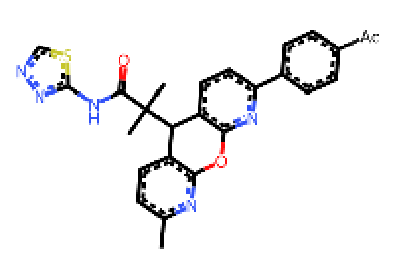 CC(=O)c1ccc(-c2ccc3c(n2)Oc2nc(C)ccc2C3C(C)(C)C(=O)Nc2nncs2)cc1